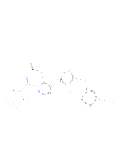 Cl.O=C1Cc2c(-c3nnc(Cc4cccc(Cl)c4)o3)cnn2C(C2CCNCC2)=N1